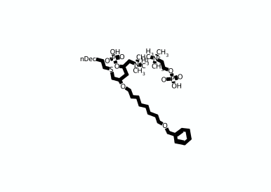 CCCCCCCCCCCCSCC(CC(C[N+](C)(C)C)OP(=O)([O-])O)OCCCCCCCCOCc1ccccc1.C[N+](C)(C)CCOP(=O)([O-])O